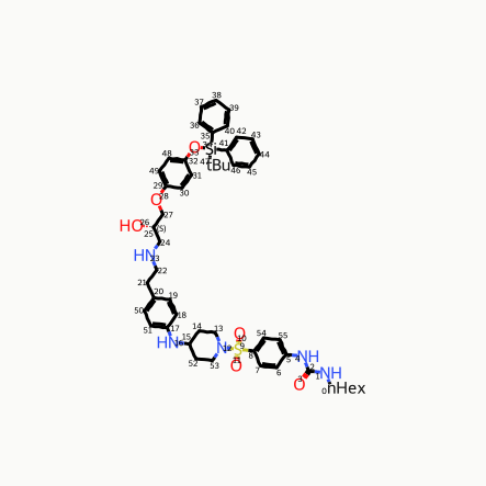 CCCCCCNC(=O)Nc1ccc(S(=O)(=O)N2CCC(Nc3ccc(CCNC[C@H](O)COc4ccc(O[Si](c5ccccc5)(c5ccccc5)C(C)(C)C)cc4)cc3)CC2)cc1